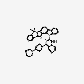 CC1(C)c2ccccc2-c2sc3c(ccc4c5ccccc5n(C5=NC(c6ccc(-c7ccccc7)cc6)=C6C=CC=CC6N5)c43)c21